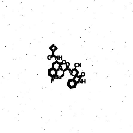 CC(C)(C)C[C@@H](C(=O)N1C[C@]2(C[C@H]1C#N)C(=O)Nc1ccccc12)N1C(=O)[C@@H](NC(=O)C2CCC2)Cc2ccc(F)cc21